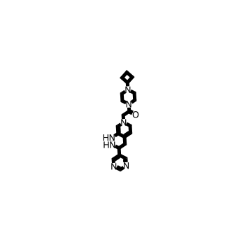 O=C(CN1C=C2NNC(c3cncnc3)CC2=CC1)N1CCN(C2CCC2)CC1